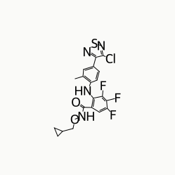 Cc1cc(-c2nsnc2Cl)ccc1Nc1c(C(=O)NOCC2CC2)cc(F)c(F)c1F